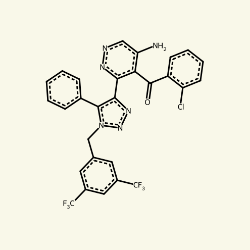 Nc1cnnc(-c2nnn(Cc3cc(C(F)(F)F)cc(C(F)(F)F)c3)c2-c2ccccc2)c1C(=O)c1ccccc1Cl